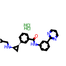 Cl.Cl.O=C(Nc1cccc(-c2ncccn2)c1)c1cccc([C@@H]2C[C@H]2NCC2CC2)c1